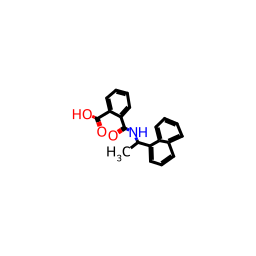 CC(NC(=O)c1ccccc1C(=O)O)c1cccc2ccccc12